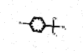 CCC(C)c1ccc(C(C)(C)C(F)(F)F)cc1